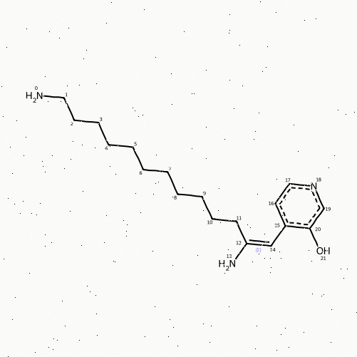 NCCCCCCCCCCC/C(N)=C\c1ccncc1O